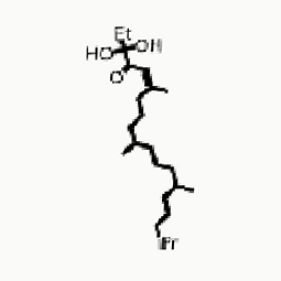 CCC(O)(O)C(=O)C=C(C)CCCC(C)CCCC(C)CCCC(C)C